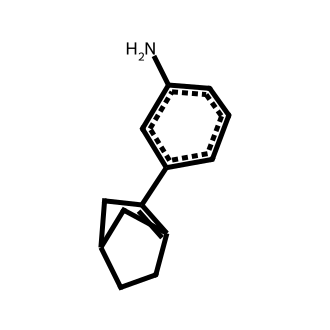 Nc1cccc(C2=C3CCC(C3)C2)c1